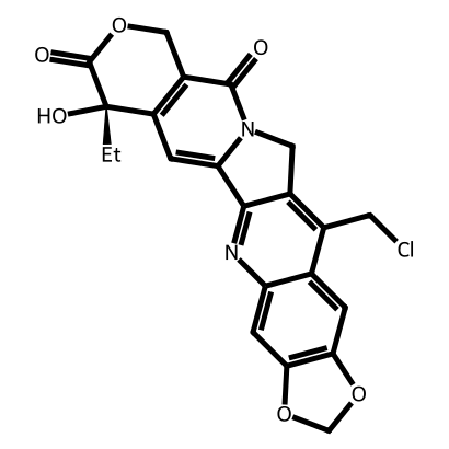 CC[C@@]1(O)C(=O)OCc2c1cc1n(c2=O)Cc2c-1nc1cc3c(cc1c2CCl)OCO3